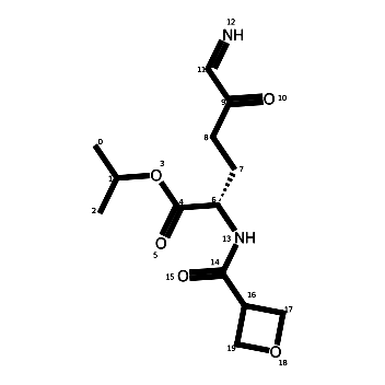 CC(C)OC(=O)[C@H](CCC(=O)C=N)NC(=O)C1COC1